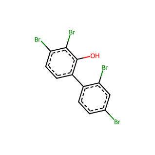 Oc1c(-c2ccc(Br)cc2Br)ccc(Br)c1Br